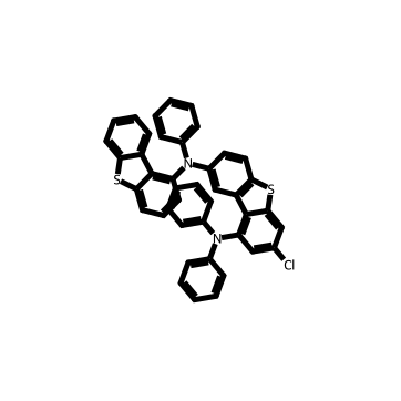 Clc1cc(N(c2ccccc2)c2ccccc2)c2c(c1)sc1ccc(N(c3ccccc3)c3cccc4sc5ccccc5c34)cc12